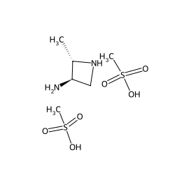 CS(=O)(=O)O.CS(=O)(=O)O.C[C@@H]1NC[C@H]1N